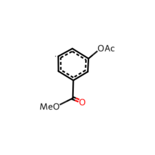 COC(=O)c1c[c]cc(OC(C)=O)c1